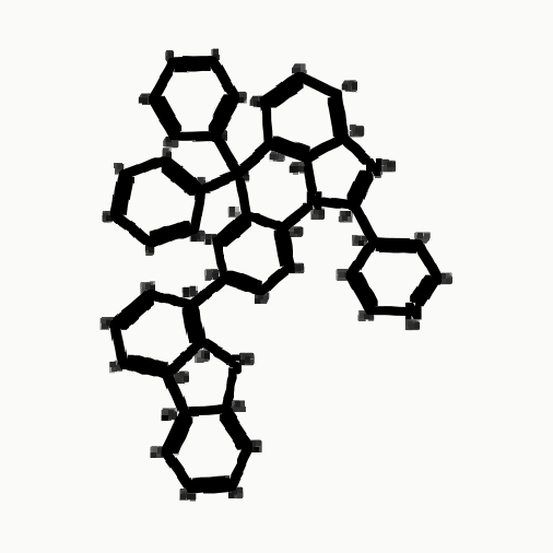 c1ccc(C2(c3ccccc3)c3cc(-c4cccc5c4sc4ccccc45)ccc3-n3c(-c4ccncc4)nc4cccc2c43)cc1